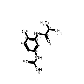 CC(C)C(=O)Nc1cc(NC(=O)O)ccc1Cl